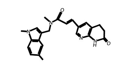 Cc1ccc2c(c1)c(CN(C)C(=O)/C=C/c1cnc3c(c1)CCC(=O)N3)cn2C